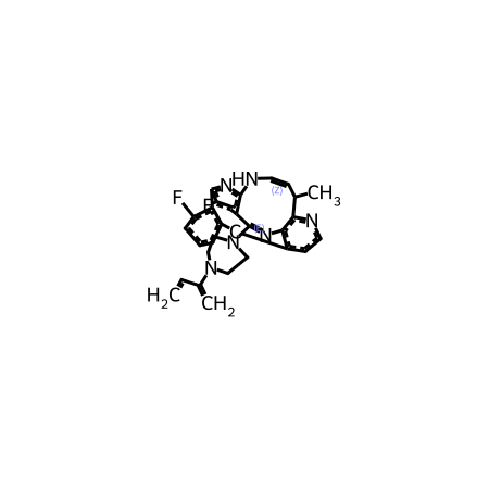 C=CC(=C)N1CCN(/C2=N/c3c4ccnc3C(C)/C=C\Nc3nc(c(F)cc32)-c2c(F)cccc2C4)CC1